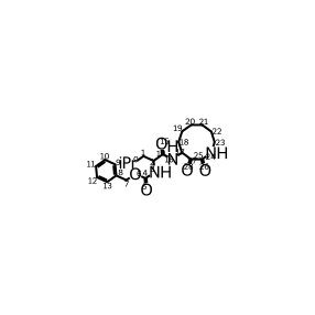 CC(C)CC(NC(=O)OCc1ccccc1)C(=O)NC1CCCCCCNC(=O)C1=O